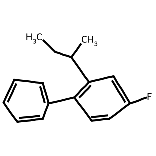 CCC(C)c1cc(F)ccc1-c1ccccc1